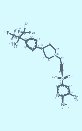 Nc1ncc(S(=O)(=O)C#CCN2CCN(c3ccc(C(O)(C(F)(F)F)C(F)(F)F)cc3)CC2)cc1Br